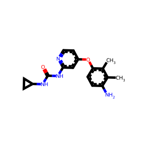 Cc1c(N)ccc(Oc2ccnc(NC(=O)NC3CC3)c2)c1C